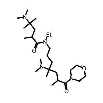 CCN(CCCC(C)(CC(C)C(=O)N1CCOCC1)N(C)C)C(=O)C(C)CC(C)(C)N(C)C